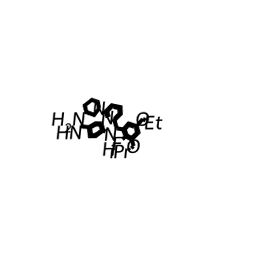 CCOc1cc(OC(C)C)c(F)c(C(Nc2ccc(C(=N)N)cc2)c2cccc(N3CCCCC3)n2)c1